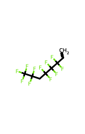 C=CC(F)(F)C(F)(F)C(F)(F)CC(F)(F)C(F)(F)F